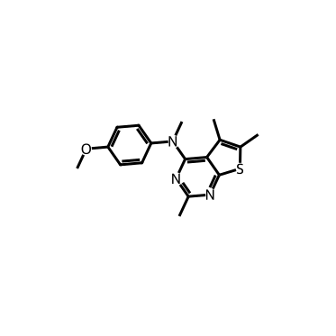 COc1ccc(N(C)c2nc(C)nc3sc(C)c(C)c23)cc1